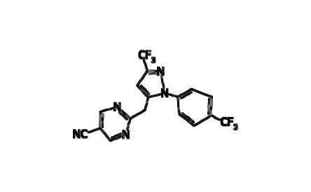 N#Cc1cnc(Cc2cc(C(F)(F)F)nn2-c2ccc(C(F)(F)F)cc2)nc1